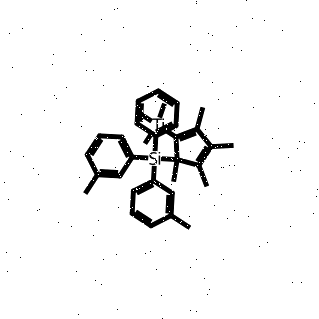 CC1=C(C)C(C)([Si](c2ccccc2)(c2cccc(C)c2)c2cccc(C)c2)[C]([Ti]([CH3])([CH3])[CH3])=C1C